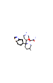 CC1CCC(c2ccc3scnc3c2)(C2CCN(C)CC2)N(C(=O)C(N)=O)C1